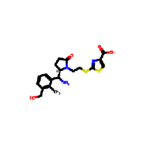 Cc1c(CO)cccc1C(N)[C@H]1CCC(=O)N1CCSc1nc(C(=O)O)cs1